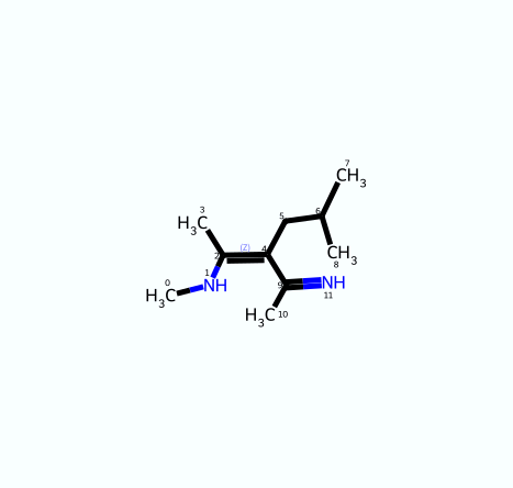 CN/C(C)=C(/CC(C)C)C(C)=N